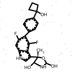 C[C@@]1(c2c[nH]c3cc(F)c(-c4ccc(C5(O)CCC5)cc4)c(F)c23)OC(O)NC1O